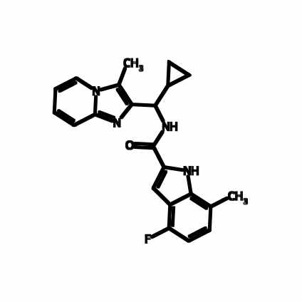 Cc1ccc(F)c2cc(C(=O)NC(c3nc4ccccn4c3C)C3CC3)[nH]c12